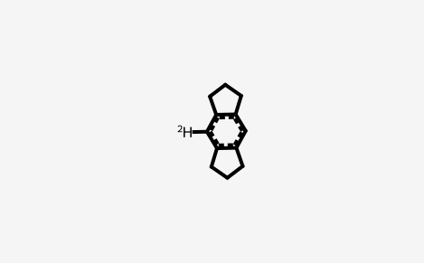 [2H]c1c2c(cc3c1CCC3)CCC2